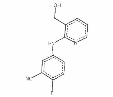 N#Cc1cc(Nc2ncccc2CO)ccc1F